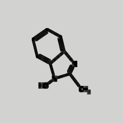 Cc1nc2ccccc2n1O